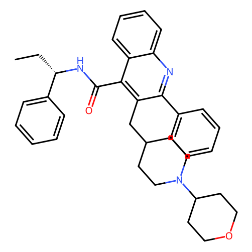 CC[C@H](NC(=O)c1c(CC2CCN(C3CCOCC3)CC2)c(-c2ccccc2)nc2ccccc12)c1ccccc1